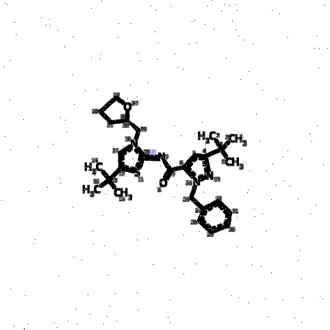 CC(C)(C)c1cc(C(=O)/N=c2\sc(C(C)(C)C)cn2C[C@H]2CCCO2)n(Cc2ccccc2)n1